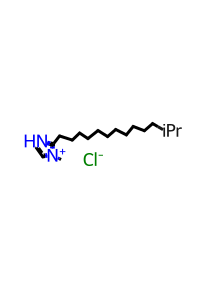 CC(C)CCCCCCCCCCCc1[nH]cc[n+]1C.[Cl-]